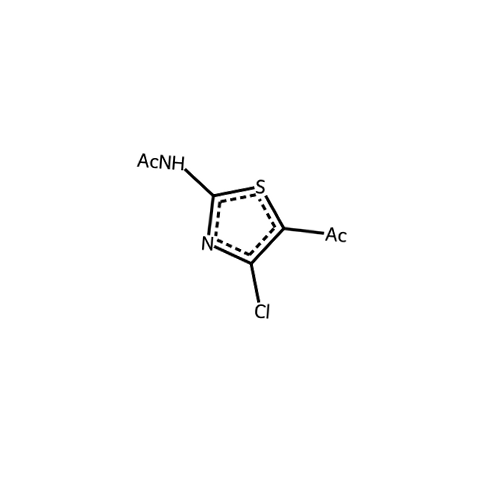 CC(=O)Nc1nc(Cl)c(C(C)=O)s1